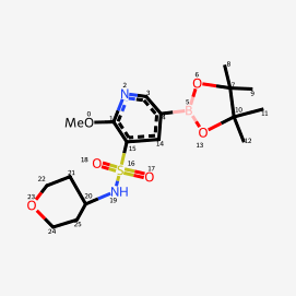 COc1ncc(B2OC(C)(C)C(C)(C)O2)cc1S(=O)(=O)NC1CCOCC1